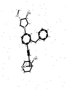 CO[C@H]1CN(c2ccc(C#C[C@@]3(O)CN4CCC3CC4)c(Cc3ccccc3)c2)C[C@@H]1O